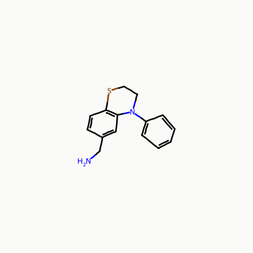 NCc1ccc2c(c1)N(c1ccccc1)CCS2